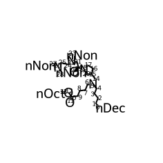 CCCCCCCCCCCCCCN(CCCCC(=O)OCCCCCCCC)CC1CCN(C(=O)CN(CCCCCCCCC)CCN(CCCCCCCCC)CCCCCCCCC)C1